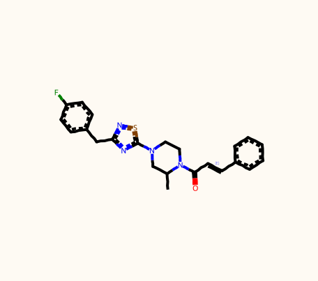 CC1CN(c2nc(Cc3ccc(F)cc3)ns2)CCN1C(=O)/C=C/c1ccccc1